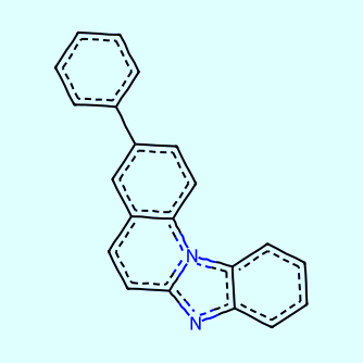 c1ccc(-c2ccc3c(ccc4nc5ccccc5n43)c2)cc1